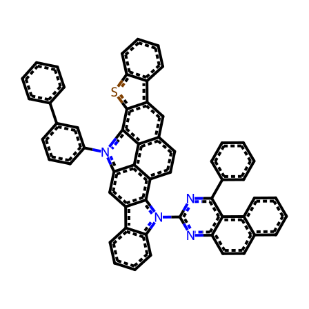 c1ccc(-c2cccc(-n3c4cc5c6ccccc6n(-c6nc(-c7ccccc7)c7c(ccc8ccccc87)n6)c5c5ccc6cc7c8ccccc8sc7c3c6c54)c2)cc1